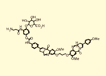 COc1ccc(C2=CN3C(=O)c4cc(OC)c(OCCCOc5cc6c(cc5OC)C(=O)N5C=C(c7ccc(NC(=O)Oc8ccc(OC9OC(C(=O)O)C(O)C(O)C9O)c(NC(=O)CCN)c8)cc7)CC5C=N6)cc4N=C[C@@H]3C2)cc1